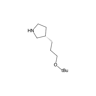 CC(C)(C)OCCC[C@H]1CCNC1